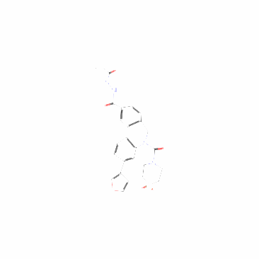 O=C(NNC(=O)C(F)(F)F)c1ccc(CN(C(=O)N2CCS(=O)(=O)CC2)c2cccc(-c3ccoc3)c2)cc1